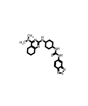 CN(C)c1nc(NC2CCC(NC(=S)Nc3ccc4nsnc4c3)CC2)nc2c1CCCC2